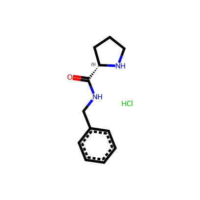 Cl.O=C(NCc1ccccc1)[C@@H]1CCCN1